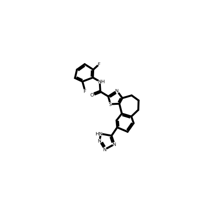 O=C(Nc1c(F)cccc1F)c1nc2c(s1)-c1cc(-c3nnn[nH]3)ccc1CCC2